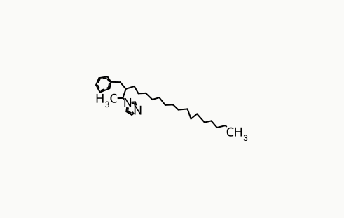 CCCCCCCCCCCCCCCCC(Cc1ccccc1)C(C)n1ccnc1